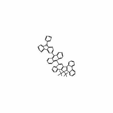 CC(C)(C)C1(C(C)(C)C)c2c(cc(-c3c4ccccc4c(-c4ccc5c(c4)c4ccccc4n5-c4ccccc4)c4ccccc34)c3ccccc23)-c2c1c1ccccc1c1ccccc21